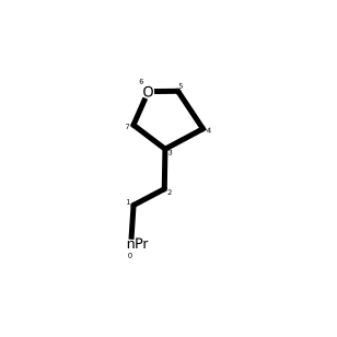 [CH2]CCCCC1CCOC1